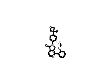 O=C1c2ccnc(-c3ccccc3OCC(F)(F)F)c2CN1c1ccc(C2(F)COC2)cc1